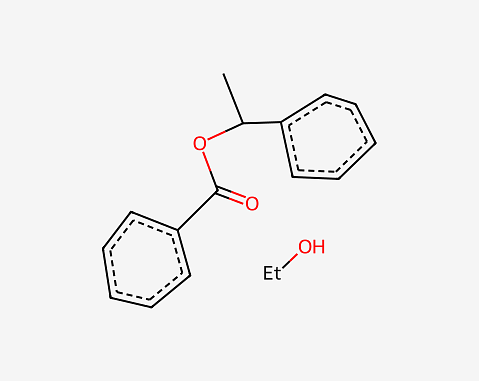 CC(OC(=O)c1ccccc1)c1ccccc1.CCO